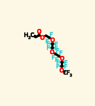 C=CC(=O)OCC(F)(F)OC(F)(F)C(F)(F)OC(F)(F)C(F)(F)OC(F)(F)C(F)(F)OC(F)(F)F